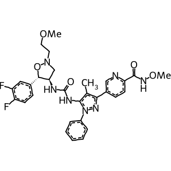 COCCN1C[C@@H](NC(=O)Nc2c(C)c(-c3ccc(C(=O)NOC)nc3)nn2-c2ccccc2)[C@H](c2ccc(F)c(F)c2)O1